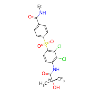 CCNC(=O)c1ccc(S(=O)(=O)c2ccc(NC(=O)[C@@](C)(O)C(F)(F)F)c(Cl)c2Cl)cc1